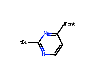 CCCC(C)c1ccnc(C(C)(C)C)n1